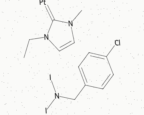 CCn1ccn(C)[c]1=[Pt].Clc1ccc(CN(I)I)cc1